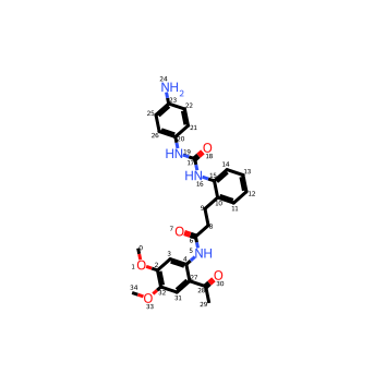 COc1cc(NC(=O)CCc2ccccc2NC(=O)Nc2ccc(N)cc2)c(C(C)=O)cc1OC